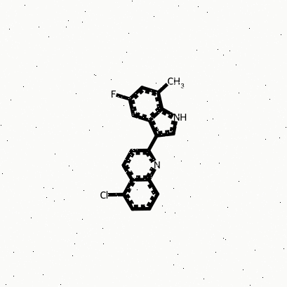 Cc1cc(F)cc2c(-c3ccc4c(Cl)cccc4n3)c[nH]c12